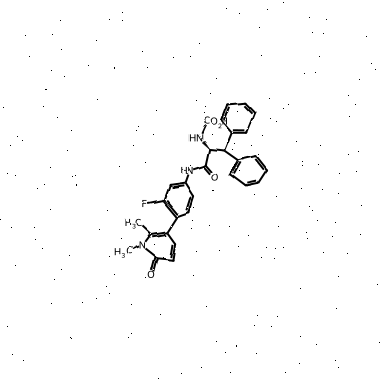 Cc1c(-c2ccc(NC(=O)[C@@H](NC(=O)O)C(c3ccccc3)c3ccccc3)cc2F)ccc(=O)n1C